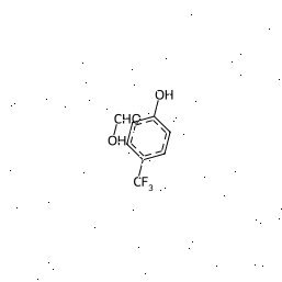 O=CO.Oc1ccc(C(F)(F)F)cc1